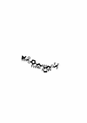 CC1(NC(=O)O[C@H]2CC[C@@H](c3cc(Nc4nccn5nc(OCC(F)(F)F)cc45)n[nH]3)[C@H]2F)CC1